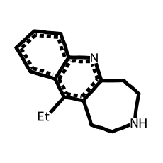 CCc1c2c(nc3ccccc13)CCNCC2